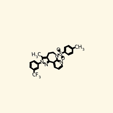 Cc1ccc(S(=O)(=O)N2CCc3c(nn(-c4cccc(C(F)(F)F)c4)c3C)-c3cccnc32)cc1